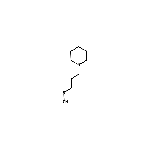 N#CSCCCN1CCCCC1